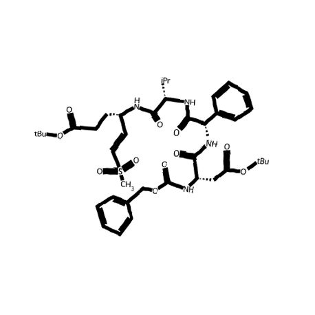 CC(C)[C@H](NC(=O)[C@@H](NC(=O)[C@H](CC(=O)OC(C)(C)C)NC(=O)OCc1ccccc1)c1ccccc1)C(=O)N[C@H](/C=C/S(C)(=O)=O)CCC(=O)OC(C)(C)C